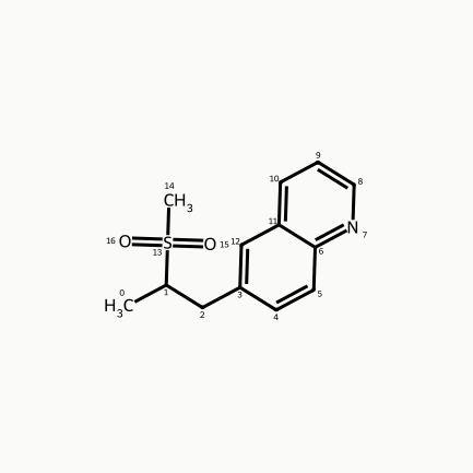 CC(Cc1ccc2ncccc2c1)S(C)(=O)=O